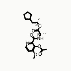 COc1ccnc(C(=O)N[C@@H](C)C(=O)O[C@@H](C)CC2CCCC2)c1OC(C)=O